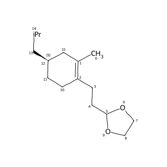 CC1=C(CCC2OCCO2)CC[C@@H](CC(C)C)C1